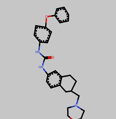 O=C(Nc1ccc(Oc2ccccc2)cc1)Nc1ccc2c(c1)CCC(CN1CCOCC1)C2